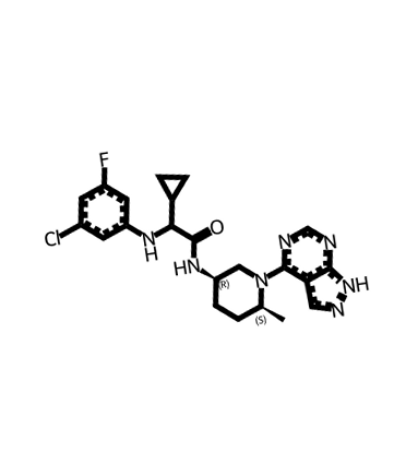 C[C@H]1CC[C@@H](NC(=O)C(Nc2cc(F)cc(Cl)c2)C2CC2)CN1c1ncnc2[nH]ncc12